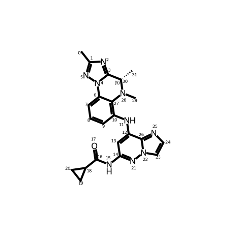 Cc1nc2n(n1)-c1cccc(Nc3cc(NC(=O)C4CC4)nn4ccnc34)c1N(C)[C@H]2C